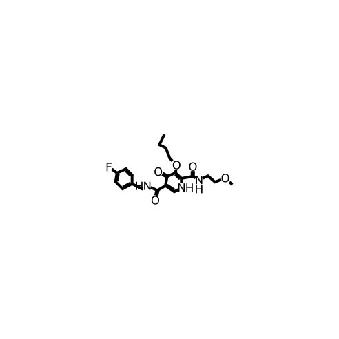 CCCCOc1c(C(=O)NCCOC)[nH]cc(C(=O)NCc2ccc(F)cc2)c1=O